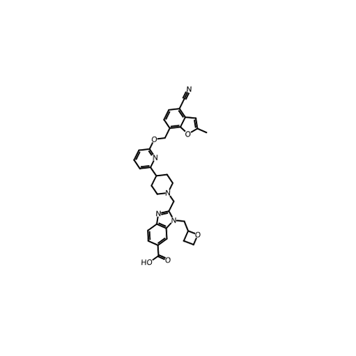 Cc1cc2c(C#N)ccc(COc3cccc(C4CCN(Cc5nc6ccc(C(=O)O)cc6n5CC5CCO5)CC4)n3)c2o1